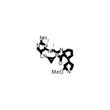 COc1cc(-c2cccc3nc([C@@H](C)Nc4nc(N)ncc4C#N)n(C4CC4)c(=O)c23)ccn1